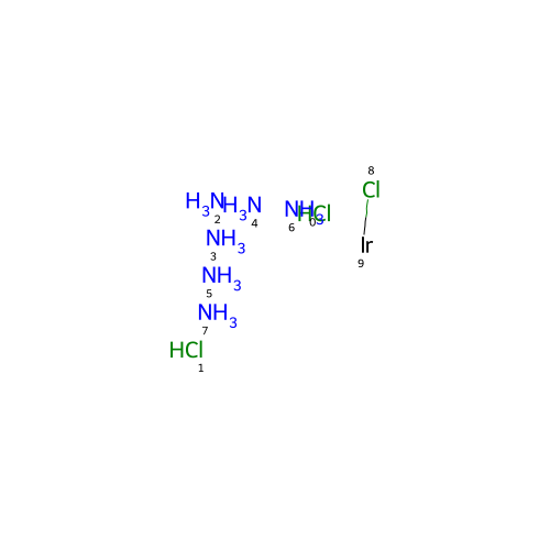 Cl.Cl.N.N.N.N.N.N.[Cl][Ir]